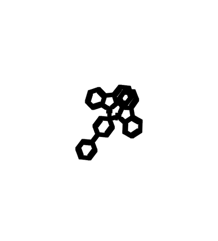 C1=CC(n2c3ccccc3c3ccccc32)(n2c3ccccc3c3ccccc32)C=CC1c1ccccc1